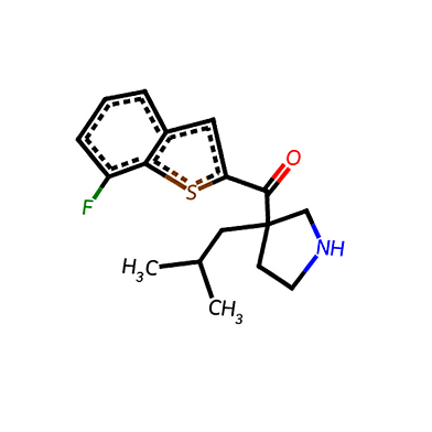 CC(C)CC1(C(=O)c2cc3cccc(F)c3s2)CCNC1